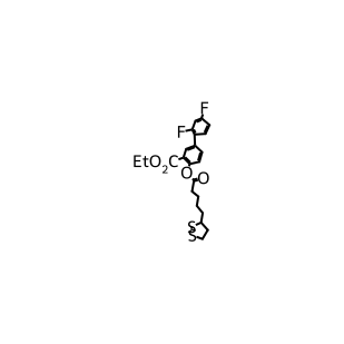 CCOC(=O)c1cc(-c2ccc(F)cc2F)ccc1OC(=O)CCCCC1CCSS1